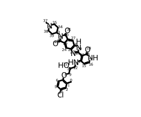 Cc1cc(Cl)ccc1OCC(O)CNc1cc[nH]c(=O)c1-c1nc2cc3c(cc2[nH]1)C(=O)N(C1CCN(C)CC1)C3=O